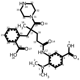 CN(C)c1ccc(C(=O)O)cc1NC(=O)CCC(C)(Cc1ccccc1C(=O)O)C(=O)N1CCNCC1